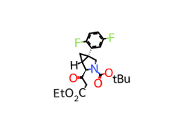 CCOC(=O)CC(=O)[C@H]1[C@@H]2C[C@@]2(c2cc(F)ccc2F)CN1C(=O)OC(C)(C)C